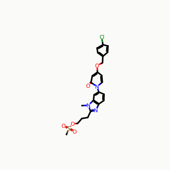 Cn1c(CCCOS(C)(=O)=O)nc2ccc(-n3ccc(OCc4ccc(Cl)cc4)cc3=O)cc21